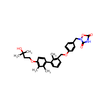 Cc1c(COc2ccc(Cn3oc(=O)[nH]c3=O)cc2)cccc1-c1ccc(OCCC(C)(C)O)c(C)c1C